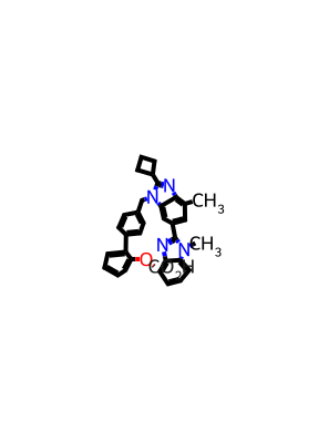 Cc1cc(-c2nc3ccccc3n2C)cc2c1nc(C1CCC1)n2Cc1ccc(-c2ccccc2OC(=O)O)cc1